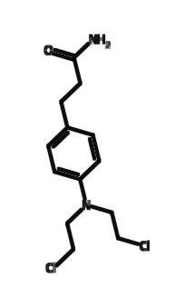 NC(=O)CCc1ccc(N(CCCl)CCCl)cc1